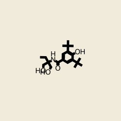 CCC(CO)(CO)NC(=O)c1cc(C(C)(C)C)c(O)c(C(C)(C)C)c1